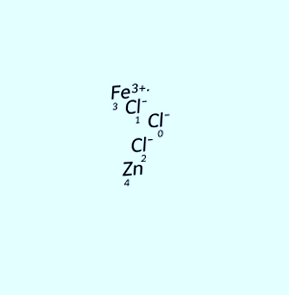 [Cl-].[Cl-].[Cl-].[Fe+3].[Zn]